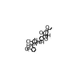 C=CC(=O)N1CC(=O)N2c3ccc(Nc4ncc(Cl)c(Nc5ccccc5P(C)(C)=O)n4)cc3OC[C@@H]2C1